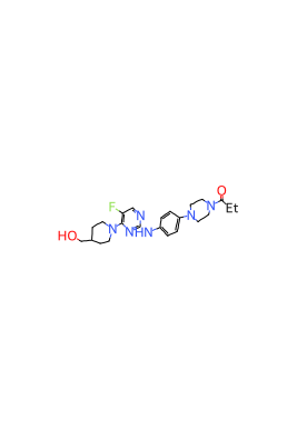 CCC(=O)N1CCN(c2ccc(Nc3ncc(F)c(N4CCC(CO)CC4)n3)cc2)CC1